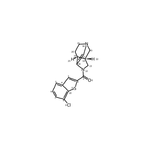 O=C(c1cc2cccc(Cl)c2s1)N1C[C@H]2CN3C=C1[C@@H]2CC3